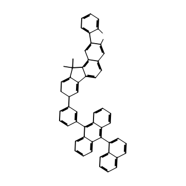 CC1(C)C2=CCC(c3cccc(-c4c5ccccc5c(-c5cccc6ccccc56)c5ccccc45)c3)C=C2c2ccc3cc4sc5ccccc5c4cc3c21